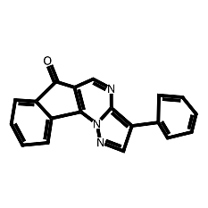 O=C1c2ccccc2-c2c1cnc1c(-c3ccccc3)cnn21